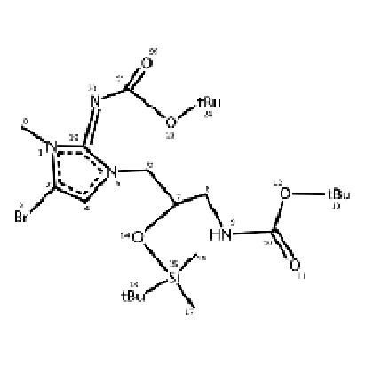 Cn1c(Br)cn(CC(CNC(=O)OC(C)(C)C)O[Si](C)(C)C(C)(C)C)c1=NC(=O)OC(C)(C)C